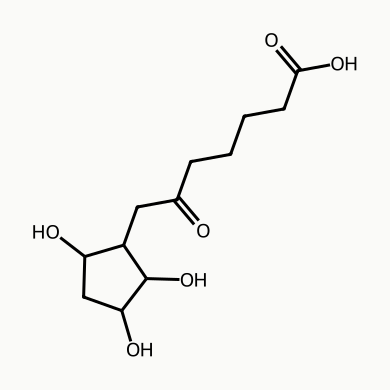 O=C(O)CCCCC(=O)CC1C(O)CC(O)C1O